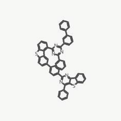 c1ccc(-c2cccc(-c3nc(-c4ccccc4)nc(-c4cccc5sc6ccc(-c7ccc(-c8nc(-c9ccccc9)c9sc%10ccccc%10c9n8)cc7)cc6c45)n3)c2)cc1